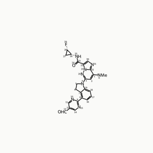 CNc1cc(N2CCc3c(-c4ncc(C=O)cn4)cccc32)nn2c(C(=O)N[C@@H]3C[C@@H]3F)cnc12